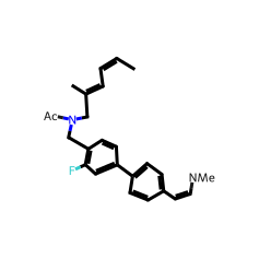 C/C=C\C=C(/C)CN(Cc1ccc(-c2ccc(/C=C\NC)cc2)cc1F)C(C)=O